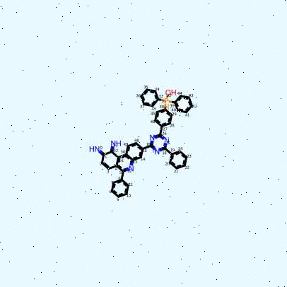 N=C1C=Cc2c(-c3ccccc3)nc3cc(-c4nc(-c5ccccc5)nc(-c5ccc([PH](O)(c6ccccc6)c6ccccc6)cc5)n4)ccc3c2C1=N